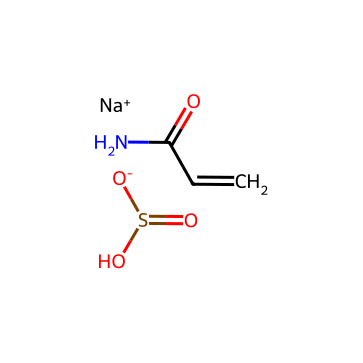 C=CC(N)=O.O=S([O-])O.[Na+]